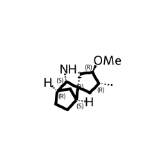 CO[C@@H]1C[C@]2(C[C@H]1C)[C@H]1CC[C@H](C1)[C@@H]2N